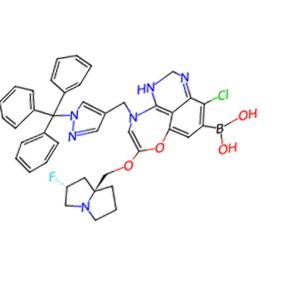 OB(O)c1cc2c3c(c1Cl)=NCNC=3N(Cc1cnn(C(c3ccccc3)(c3ccccc3)c3ccccc3)c1)C=C(OC[C@@]13CCCN1C[C@H](F)C3)O2